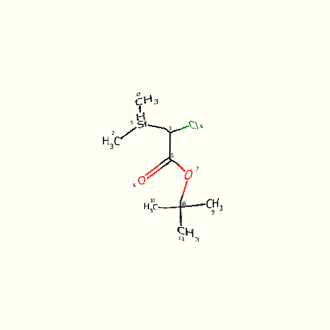 C[SiH](C)C(Cl)C(=O)OC(C)(C)C